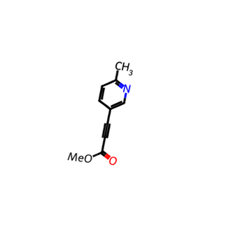 COC(=O)C#Cc1ccc(C)nc1